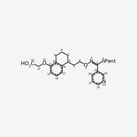 CCCCCC(=NOCCC1CCCc2c(OCC(=O)O)cccc21)c1cccnc1